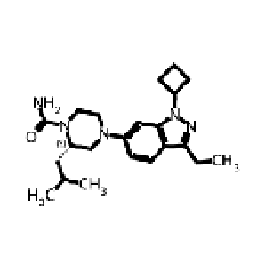 CCc1nn(C2CCC2)c2cc(N3CCN(C(N)=O)[C@@H](CC(C)C)C3)ccc12